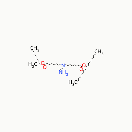 CCCCCCCCC(CCCCCCCC)OC(=O)CCCCCCCN(CCN)CCCCCCCC(=O)OCC(C)CCCCCCC